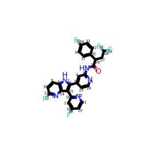 O=C(Nc1cc(-c2[nH]c3ccc(F)nc3c2-c2cc(F)ccn2)ccn1)C(CC(F)F)c1ccc(F)cc1